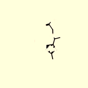 Cc1nc(C(C)OCC(=O)O)c[nH]1.Cl